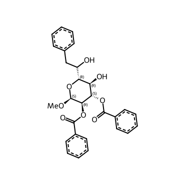 CO[C@H]1O[C@H](C(O)Cc2ccccc2)[C@@H](O)[C@H](OC(=O)c2ccccc2)[C@H]1OC(=O)c1ccccc1